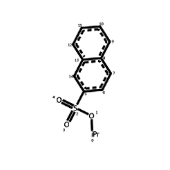 CC(C)OS(=O)(=O)c1ccc2ccccc2c1